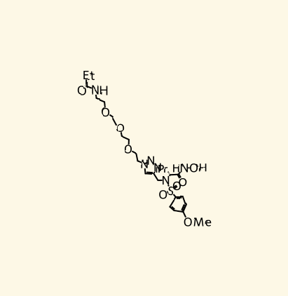 CCC(=O)NCCOCCOCCOCCn1cc(CN([C@@H](C(=O)NO)C(C)C)S(=O)(=O)c2ccc(OC)cc2)nn1